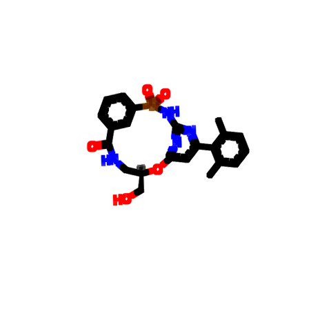 Cc1cccc(C)c1-c1cc2nc(n1)NS(=O)(=O)c1cccc(c1)C(=O)NC[C@H](CO)O2